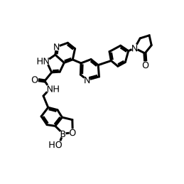 O=C(NCc1ccc2c(c1)COB2O)c1cc2c(-c3cncc(-c4ccc(N5CCCC5=O)cc4)c3)ccnc2[nH]1